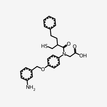 Nc1cccc(COc2ccc(N(CC(=O)O)C(=O)C(CS)CCc3ccccc3)cc2)c1